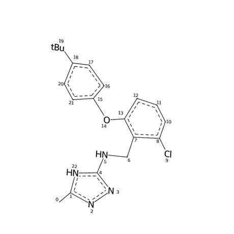 Cc1nnc(NCc2c(Cl)cccc2Oc2ccc(C(C)(C)C)cc2)[nH]1